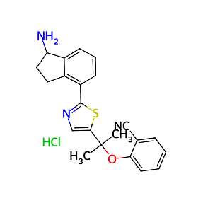 CC(C)(Oc1ccccc1C#N)c1cnc(-c2cccc3c2CCC3N)s1.Cl